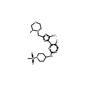 C[C@H]1COCCN1Cc1nc(C(F)(F)F)c(-c2nc(NC3CCN(S(C)(=O)=O)CC3)ncc2F)s1